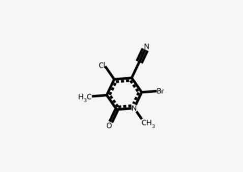 Cc1c(Cl)c(C#N)c(Br)n(C)c1=O